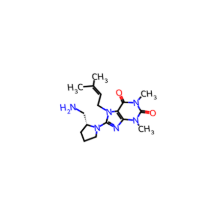 CC(C)=CCn1c(N2CCC[C@@H]2CN)nc2c1c(=O)n(C)c(=O)n2C